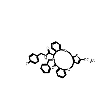 CCOC(=O)c1cc2c(s1)COc1ccccc1C(C(=O)NCc1ccc(F)cc1)N(Cc1ccccc1)C(=O)c1ccccc1OC2